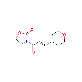 O=C(C=CC1CCOCC1)N1CCOC1=O